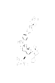 CC(C)[Si](C#Cc1cc(N2C(=O)OCC2C2CCCC2)nc2nc(Nc3ccc(N4CCN(C(=O)OC(C)(C)C)CC4)cc3)ncc12)(C(C)C)C(C)C